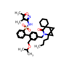 CCCCC12CC13CC3C1(CCCCC1)C(=O)N2Cc1ccc(-c2ccccc2S(=O)(=O)Nc2noc(C)c2C)c(COC(C)C)c1